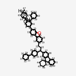 C[C@H]1C[C@]23CC(c4ccc(-c5ccc6c(c5)oc5ccc(CCC(c7ccc(-c8ccccc8)cc7)c7ccc8c(c7)C7(CCCCC7)c7ccccc7-8)cc56)cc4-c4ccccc4)C1C[C@H]2C3